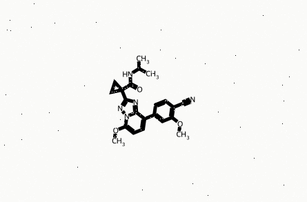 COc1cc(-c2ccc(OC)n3nc(C4(C(=O)NC(C)C)CC4)nc23)ccc1C#N